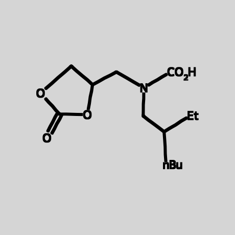 CCCCC(CC)CN(CC1COC(=O)O1)C(=O)O